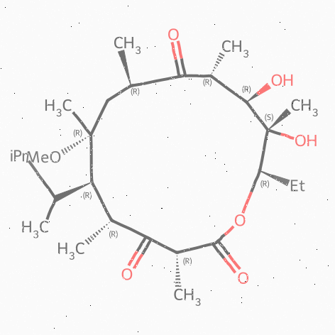 CC[C@H]1OC(=O)[C@H](C)C(=O)[C@H](C)[C@@H](C(C)C(C)C)[C@](C)(OC)C[C@@H](C)C(=O)[C@H](C)[C@@H](O)[C@]1(C)O